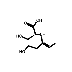 CC=C(CCO)N[C@@H](CO)C(=O)O